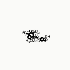 C=C[C@]1(C)C[C@@H](OC(=O)COc2cc3c(cc2OC)COB3O)[C@@]2(C)C[C@](CCC(C)=O)(CC[C@H]2C)[C@@H](C)[C@@H]1O